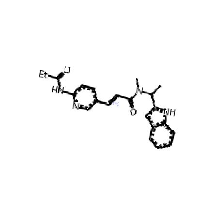 CCC(=O)Nc1ccc(/C=C/C(=O)N(C)C(C)c2cc3ccccc3[nH]2)cn1